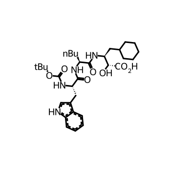 CCCC[C@H](NC(=O)[C@H](Cc1c[nH]c2ccccc12)NC(=O)OC(C)(C)C)C(=O)N[C@@H](CC1CCCCC1)[C@@H](O)C(=O)O